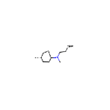 COCCN(C)[C@H]1CC[C@H](C)CC1